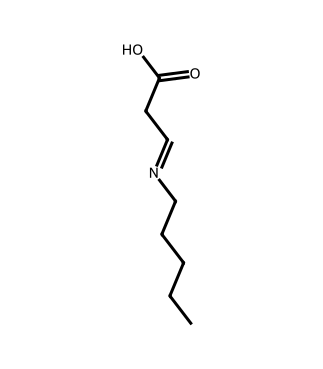 CCCCCN=CCC(=O)O